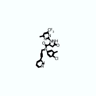 Cc1cc(C(F)(F)F)nc(N2NC(=O)CC2C(=O)N(CC#Cc2cccnn2)c2ccc(Cl)c(C)c2)n1